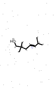 CC(C)/C=C/CC(C)(C)CO